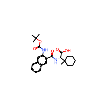 CC(C)(C)OC(=O)Nc1cc2ccccc2cc1C(=O)N[C@H](C(=O)O)C1(C)CCCCC1